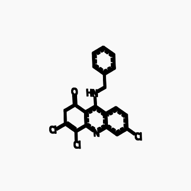 O=C1CC(Cl)=C(Cl)c2nc3cc(Cl)ccc3c(NCc3ccccc3)c21